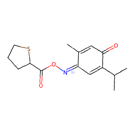 CC1=CC(=O)C(C(C)C)=C/C1=N/OC(=O)C1CCCS1